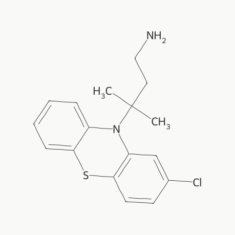 CC(C)(CCN)N1c2ccccc2Sc2ccc(Cl)cc21